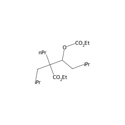 CCCC(CC(C)C)(C(=O)OCC)C(CC(C)C)OC(=O)OCC